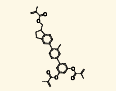 C=C(C)C(=O)OCC1CCc2cc(-c3ccc(-c4cc(OC(=O)C(=C)C)cc(OC(=O)C(=C)C)c4)cc3C)ccc21